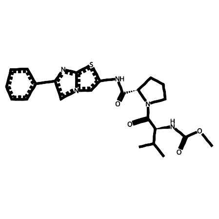 COC(=O)N[C@H](C(=O)N1CCC[C@H]1C(=O)Nc1cn2cc(-c3ccccc3)nc2s1)C(C)C